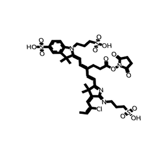 C\C=C(Cl)/C=C1\C(=N\CCCS(=O)(=O)O)N=C(/C=C/C(=C/C=C2/N(CCCS(=O)(=O)O)c3ccc(S(=O)(=O)O)cc3C2(C)C)CCC(=O)ON2C(=O)CCC2=O)C1(C)C